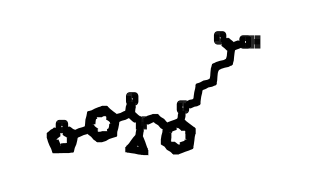 O=C(O)CCCCCOc1ccccc1CN(C(=O)c1ccc(-c2ccco2)cc1)C1CC1